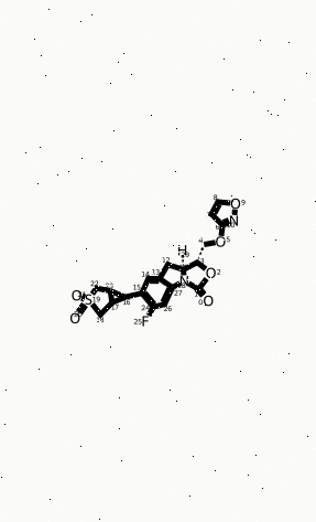 O=C1O[C@@H](COc2ccon2)[C@@H]2Cc3cc(C4C5CS(=O)(=O)CC54)c(F)cc3N12